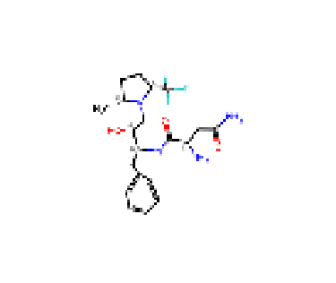 C[C@@H]1CC[C@@H](C(F)(F)F)N1C[C@@H](O)[C@H](Cc1ccccc1)NC(=O)[C@@H](N)CC(N)=O